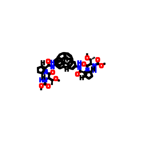 COC(=O)N[C@H](C(=O)N1[C@@H]2CC[C@@H](C2)[C@H]1C(=O)Nc1ccc([C@@H]2C=C3C=C[C@@H]2CCc2ccc(c(-c4ccc(NC(=O)[C@@H]5[C@H]6CC[C@H](C6)N5C(=O)[C@H](NC(=O)OC)[C@H](C)OC)cc4)c2)CC3)cc1)[C@@H](C)OC